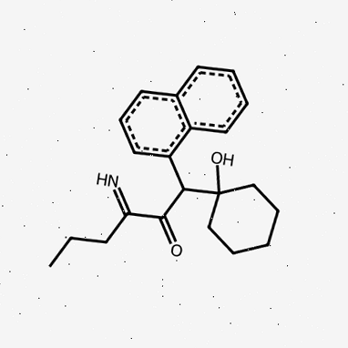 C[CH]CC(=N)C(=O)C(c1cccc2ccccc12)C1(O)CCCCC1